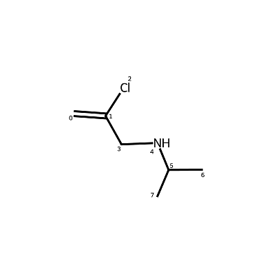 C=C(Cl)CNC(C)C